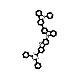 c1ccc(-c2nc(-c3ccccc3)nc(-c3ccc4c(c3)sc3cc(-n5c6ccccc6c6cc(-c7ccc8c9ccccc9n(-c9ccccc9)c8c7)ccc65)ccc34)n2)cc1